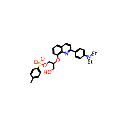 CCN(CC)c1ccc(-c2ccc3cccc(OC(CO)COS(=O)(=O)c4ccc(C)cc4)c3n2)cc1